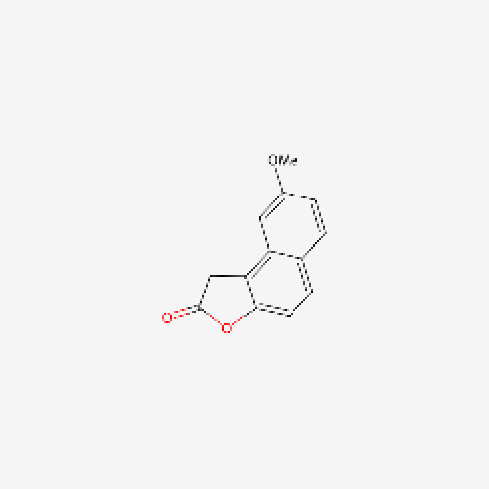 COc1ccc2ccc3c(c2c1)CC(=O)O3